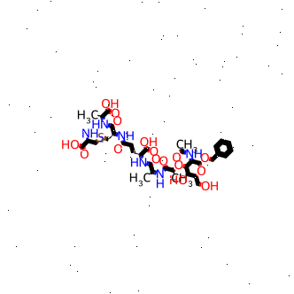 CC(=O)NC1C(O[C@H](C)C(=O)N[C@@H](C)C(=O)N[C@H](CCC(=O)N[C@H](CSC[C@H](N)C(=O)O)C(=O)N[C@H](C)C(=O)O)C(=O)O)[C@H](O)C(CO)O[C@@H]1OCc1ccccc1